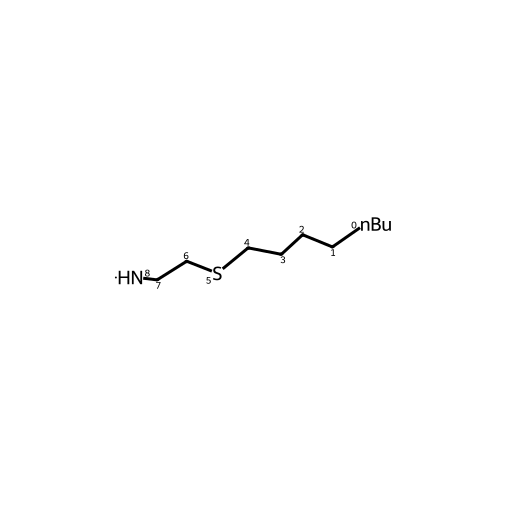 CCCCCCCCSCC[NH]